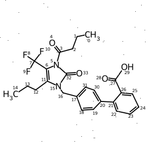 CCCC(=O)n1c(C(F)(F)F)c(CCC)n(Cc2ccc(-c3ccccc3C(=O)O)cc2)c1=O